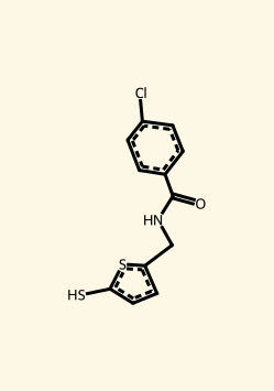 O=C(NCc1ccc(S)s1)c1ccc(Cl)cc1